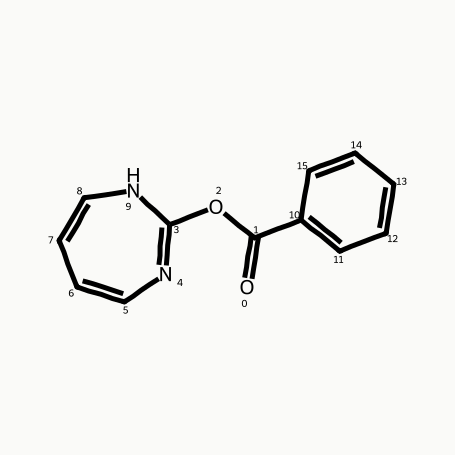 O=C(OC1=NC=CC=CN1)c1ccccc1